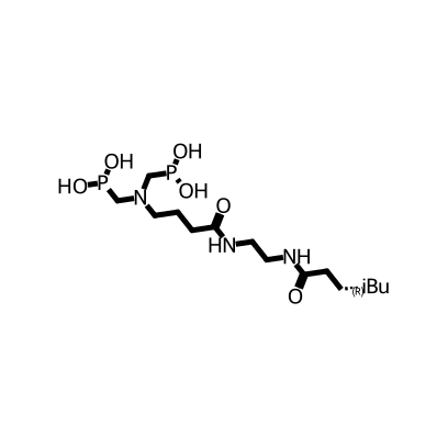 CC[C@@H](C)CCC(=O)NCCNC(=O)CCCN(CP(O)O)CP(O)O